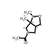 CC(=O)N1CC2CON(C)C2(C)C1